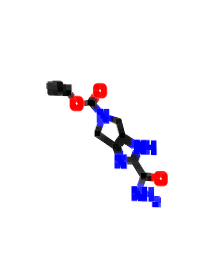 CC(C)(C)OC(=O)N1Cc2nc(C(N)=O)[nH]c2C1